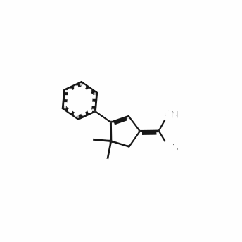 CC1(C)CC(=C(C#N)C#N)C=C1c1ccccc1